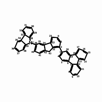 c1cc(-c2ccc3c4ccccc4c4ccccc4c3c2)c2c(c1)-c1cc(-n3c4ccccc4c4ccccc43)ccc1C2